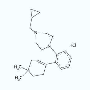 CC1(C)CC=C(c2ccccc2N2CCN(CC3CC3)CC2)CC1.Cl